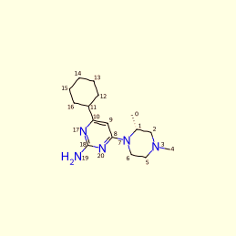 C[C@@H]1CN(C)CCN1c1cc(C2CCCCC2)nc(N)n1